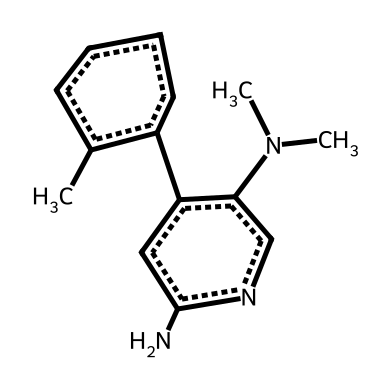 Cc1ccccc1-c1cc(N)ncc1N(C)C